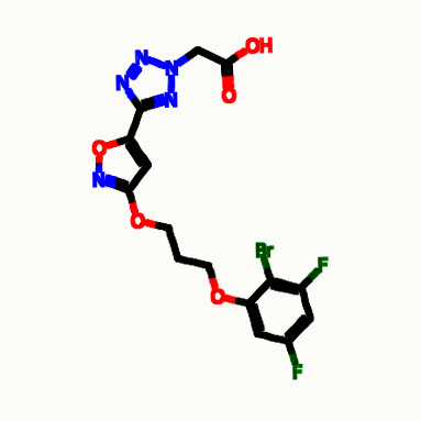 O=C(O)Cn1nnc(-c2cc(OCCCOc3cc(F)cc(F)c3Br)no2)n1